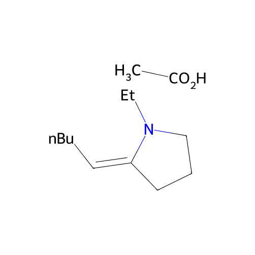 CC(=O)O.CCCCC=C1CCCN1CC